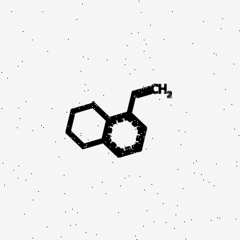 C=Cc1cccc2c1[CH]CCC2